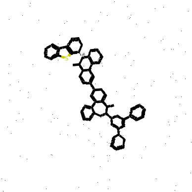 CC1C2=CCC(C3=CC4C5=C(C=CCC5)[C@@H](C5CC=Cc6c5sc5ccccc65)C(C)C4C=C3)C=C2c2ccccc2CC1C1C=C(C2C=CC=CC2)C=C(c2ccccc2)C1